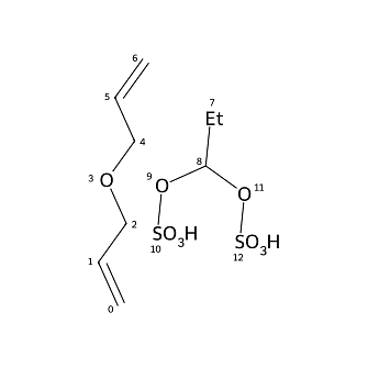 C=CCOCC=C.CCC(OS(=O)(=O)O)OS(=O)(=O)O